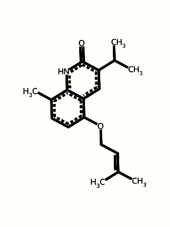 CC(C)=CCOc1ccc(C)c2[nH]c(=O)c(C(C)C)cc12